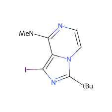 CNc1nccn2c(C(C)(C)C)nc(I)c12